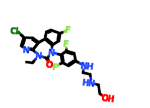 CCN1C(=O)N(c2c(F)cc(NCCNCCO)cc2F)c2cc(F)ccc2-c2cc(Cl)cnc21